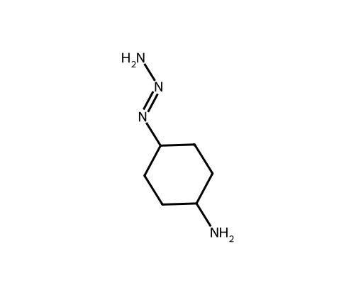 NN=NC1CCC(N)CC1